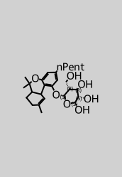 CCCCCc1cc(O[C@H]2O[C@H](O)[C@@H](O)[C@H](O)[C@H]2CO)c2c(c1)OC(C)(C)C1CCC(C)=CC21